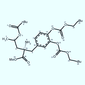 CCCCC(=O)OC(C)C[C@@](N)(Cc1ccc(OC(=O)OCC(C)CC)c(OC(=O)OCC(C)CC)c1)C(=O)OC